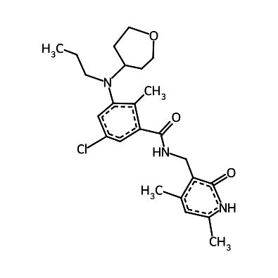 CCCN(c1cc(Cl)cc(C(=O)NCc2c(C)cc(C)[nH]c2=O)c1C)C1CCOCC1